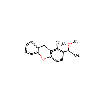 CCOC(=O)c1c(C(C)OCC)ccc2c1Cc1ccccc1O2